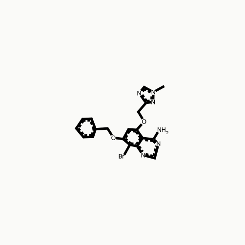 Cn1cnc(COc2cc(OCc3ccccc3)c(Br)c3ncnc(N)c23)n1